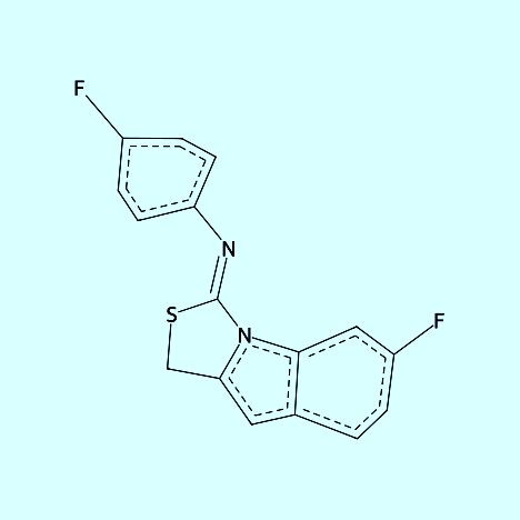 Fc1ccc(/N=C2\SCc3cc4ccc(F)cc4n32)cc1